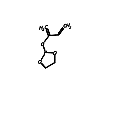 C=CC(=C)OP1OCCO1